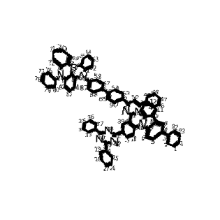 c1ccc(-c2ccc3c(c2)c2ccccc2n3-c2ccc(-c3nc(-c4ccccc4)nc(-c4ccccc4)n3)cc2-c2nc(-c3ccccc3)cc(-c3ccc(-c4ccc(N5c6ccccc6B6c7ccccc7N(c7ccccc7)c7cccc5c76)cc4)cc3)n2)cc1